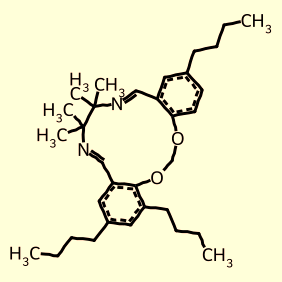 CCCCc1ccc2c(c1)/C=N/C(C)(C)C(C)(C)/N=C/c1cc(CCCC)cc(CCCC)c1OCO2